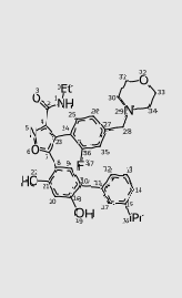 CCNC(=O)c1noc(-c2cc(-c3cccc(C(C)C)c3)c(O)cc2O)c1-c1ccc(CN2CCOCC2)cc1F